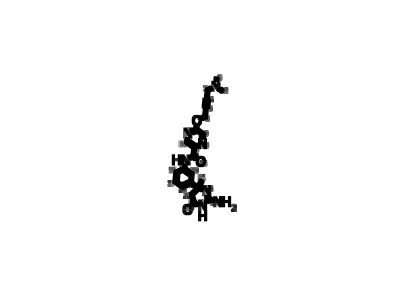 CN(C)CC#CCOc1cnc(C(=O)Nc2cccc(C3(C)CC(=O)NC(N)=N3)c2)cn1